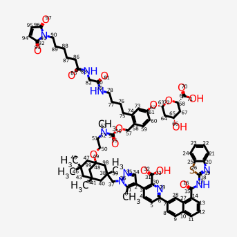 Cc1c(-c2ccc(-c3ccc4cccc(C(=O)Nc5nc6ccccc6s5)c4c3)nc2C(=O)O)cnn1CC1(C)CC2(C)CC(C)(C)CC(OCCN(C)C(=O)OCc3ccc(O[C@H]4C[C@@H](O)C[C@@H](C(=O)O)O4)cc3CCCCNC(=O)CNC(=O)CCCCCN3C(=O)C=CC3=O)(C1)C2